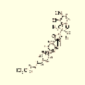 [C-]#[N+]c1ccc(OC2CCC(NC(=O)c3ccc(N4CCC(CCCCCC(=O)O)CC4)nn3)CC2)c(C)c1Cl